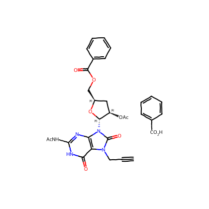 C#CCn1c(=O)n([C@@H]2O[C@@H](COC(=O)c3ccccc3)C[C@H]2OC(C)=O)c2nc(NC(C)=O)[nH]c(=O)c21.O=C(O)c1ccccc1